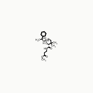 COC(=O)CCNC(=O)[C@@H]1O[PH](O)(NC(C)c2ccccc2)OCC1(C)C